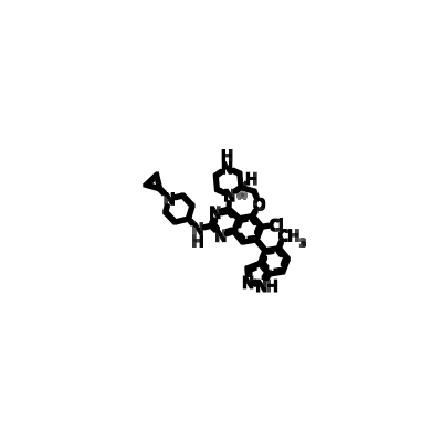 Cc1ccc2[nH]ncc2c1-c1cc2nc(NC3CCN(C4CC4)CC3)nc3c2c(c1Cl)OC[C@@H]1CNCCN31